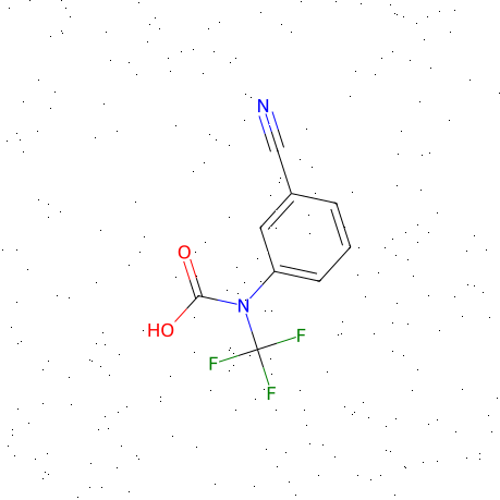 N#Cc1cccc(N(C(=O)O)C(F)(F)F)c1